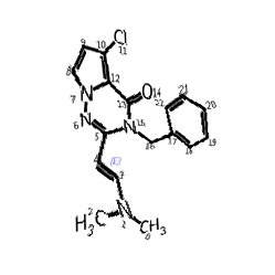 CN(C)/C=C/c1nn2ccc(Cl)c2c(=O)n1Cc1ccccc1